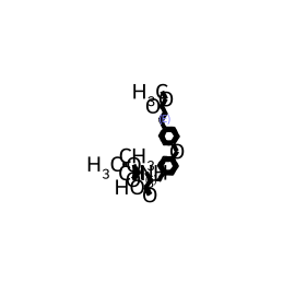 COC(=O)/C=C/c1ccc(Oc2ccc(C[C@H](NC(=O)OC(C)(C)C)C(=O)O)cc2)cc1